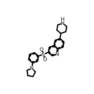 O=S(=O)(c1cccc(N2CCCC2)c1)c1cnc2ccc(C3CCNCC3)cc2c1